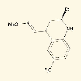 CC[C@@H]1CC(C=NOC)c2cc(C(F)(F)F)ccc2N1